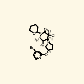 [2H]C1N([2H])N(C2CCCCO2)C(=O)C([2H])(Cl)C1([2H])N1CC[C@@H](Oc2cc(Br)ccn2)C1